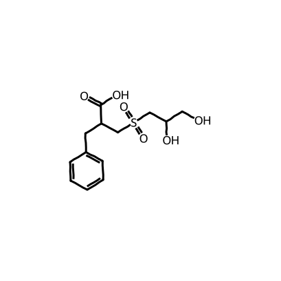 O=C(O)C(Cc1ccccc1)CS(=O)(=O)CC(O)CO